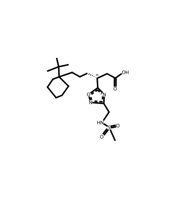 CC(C)(C)C1(CCC[C@H](CC(=O)O)c2nc(CNS(C)(=O)=O)no2)CCCCC1